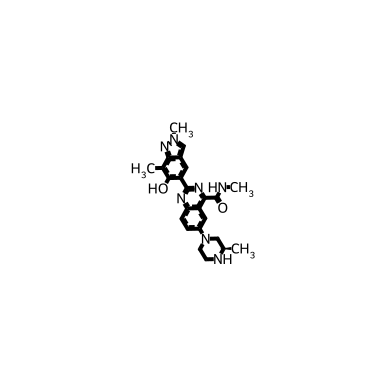 CNC(=O)c1nc(-c2cc3cn(C)nc3c(C)c2O)nc2ccc(N3CCN[C@H](C)C3)cc12